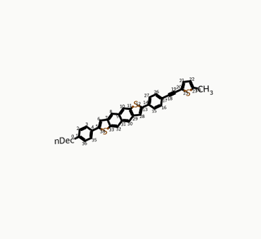 CCCCCCCCCCc1ccc(-c2cc3cc4cc5sc(-c6ccc(C#Cc7ccc(C)s7)cc6)cc5cc4cc3s2)cc1